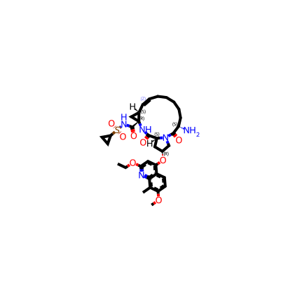 CCOc1cc(O[C@@H]2C[C@H]3C(=O)N[C@]4(C(=O)NS(=O)(=O)C5CC5)C[C@H]4/C=C\CCCCC[C@H](N)C(=O)N3C2)c2ccc(OC)c(C)c2n1